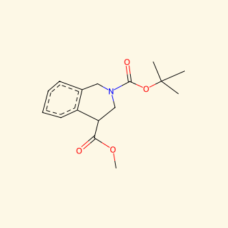 COC(=O)C1CN(C(=O)OC(C)(C)C)Cc2ccccc21